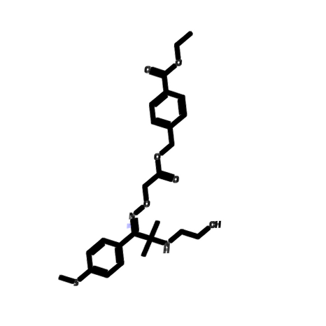 CCOC(=O)c1ccc(COC(=O)CO/N=C(/c2ccc(SC)cc2)C(C)(C)NCCO)cc1